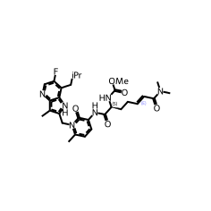 COC(=O)N[C@@H](CC/C=C/C(=O)N(C)C)C(=O)Nc1ccc(C)n(Cc2[nH]c3c(CC(C)C)c(F)cnc3c2C)c1=O